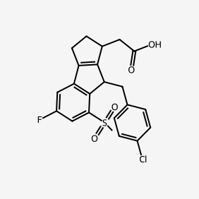 CS(=O)(=O)c1cc(F)cc2c1C(Cc1ccc(Cl)cc1)C1=C2CCC1CC(=O)O